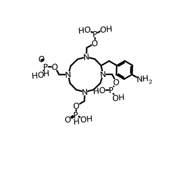 Nc1ccc(CC2CN(COP(O)O)CCN(CO[PH](=O)O)CCN(CO[PH](=O)O)CCN2COP(O)O)cc1